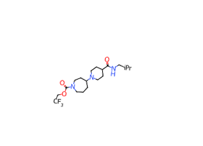 CC(C)CNC(=O)C1CCN(C2CCCN(C(=O)OCC(F)(F)F)CC2)CC1